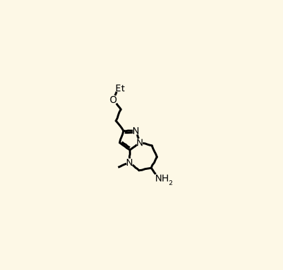 CCOCCc1cc2n(n1)CCC(N)CN2C